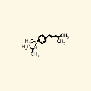 CC(C)=CC=Cc1ccc(N(C)N=C(C)C)cc1